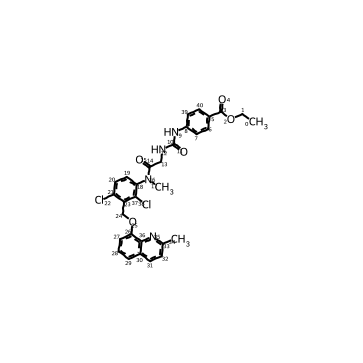 CCOC(=O)c1ccc(NC(=O)NCC(=O)N(C)c2ccc(Cl)c(COc3cccc4ccc(C)nc34)c2Cl)cc1